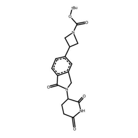 CC(C)(C)OC(=O)N1CC(c2ccc3c(c2)CN(C2CCC(=O)NC2=O)C3=O)C1